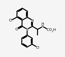 CC(NC(=O)O)c1nc2cccc(Cl)c2c(=O)n1-c1cccc(Cl)c1